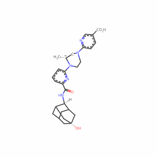 C[C@@H]1CN(c2ccc(C(=O)O)cn2)CCN1c1cccc(C(=O)N[C@H]2C3CC4CC2C[C@](O)(C4)C3)n1